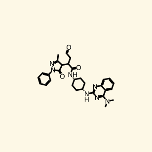 CC1=NN(c2ccccc2)C(=O)C1C(CC=O)C(=O)N[C@H]1CC[C@@H](Nc2nc(N(C)C)c3ccccc3n2)CC1